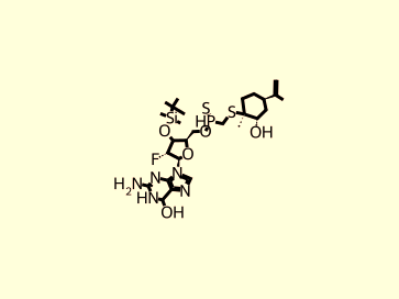 C=C(C)[C@@H]1CC[C@](C)(SC[PH](=S)OC[C@H]2O[C@@H](n3cnc4c3N=C(N)NC4O)[C@H](F)C2O[Si](C)(C)C(C)(C)C)[C@@H](O)C1